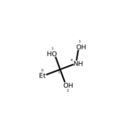 CCC(O)(O)NO